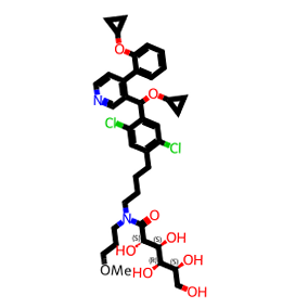 COCCCN(CCCCc1cc(Cl)c(C(OC2CC2)c2cnccc2-c2ccccc2OC2CC2)cc1Cl)C(=O)[C@@H](O)[C@@H](O)[C@H](O)[C@@H](O)CO